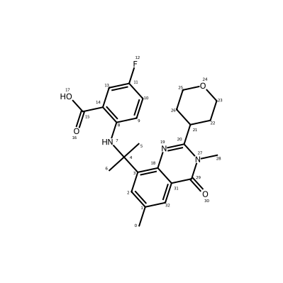 Cc1cc(C(C)(C)Nc2ccc(F)cc2C(=O)O)c2nc(C3CCOCC3)n(C)c(=O)c2c1